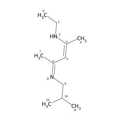 CCN/C(C)=C\C(C)=N/CC(C)C